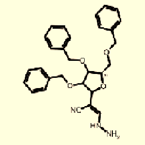 N#CC(=CNN)C1O[C@H](COCc2ccccc2)C(OCc2ccccc2)C1OCc1ccccc1